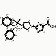 CC(C)(C)[Si](O[C@@H]1CCN(c2nc(C(=O)O)cs2)C1)(c1ccccc1)c1ccccc1